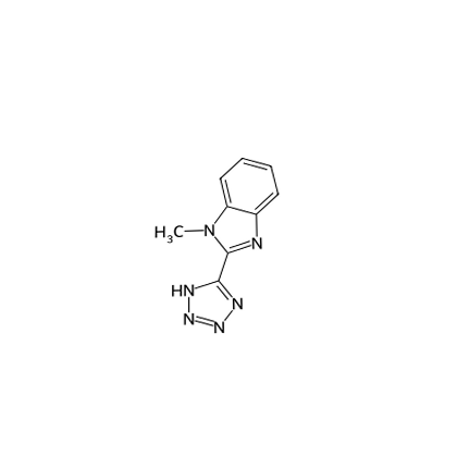 Cn1c(-c2nnn[nH]2)nc2ccccc21